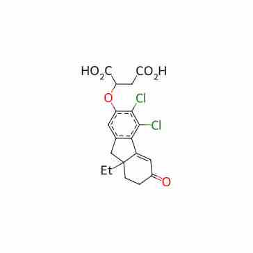 CCC12CCC(=O)C=C1c1c(cc(OC(CC(=O)O)C(=O)O)c(Cl)c1Cl)C2